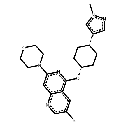 Cn1cc([C@H]2CC[C@@H](Oc3nc(N4CCOCC4)cc4ncc(Br)cc34)CC2)cn1